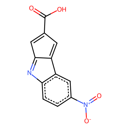 O=C(O)C1=CC2=Nc3ccc([N+](=O)[O-])cc3C2=C1